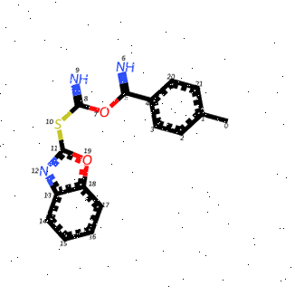 Cc1ccc(C(=N)OC(=N)Sc2nc3ccccc3o2)cc1